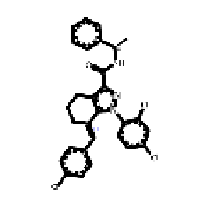 C[C@@H](NC(=O)c1nn(-c2ccc(Cl)cc2Cl)c2c1CCC/C2=C\c1ccc(Cl)cc1)c1ccccc1